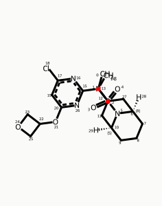 CCS(=O)(=O)N1[C@@H]2CCC[C@H]1CC(N(C)c1nc(Cl)cc(OC3COC3)n1)C2